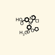 COc1ccc(N(Cc2ncccc2Cl)c2cccc(C(=O)O)c2)cc1OC1CCCC1